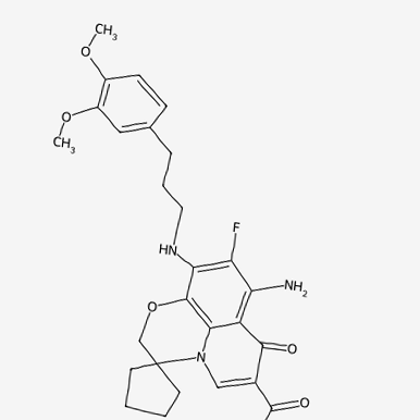 COc1ccc(CCCNc2c(F)c(N)c3c(=O)c(C(C)=O)cn4c3c2OCC42CCCC2)cc1OC